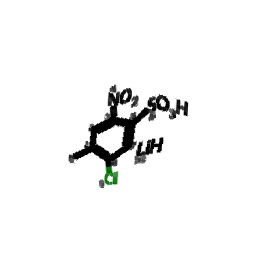 Cc1cc([N+](=O)[O-])c(S(=O)(=O)O)cc1Cl.[LiH]